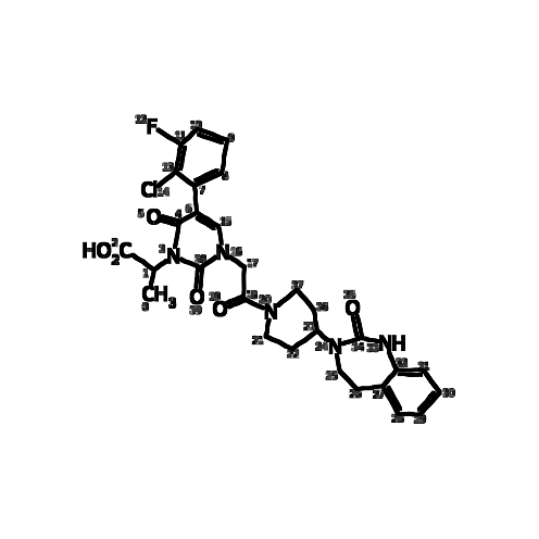 CC(C(=O)O)n1c(=O)c(-c2cccc(F)c2Cl)cn(CC(=O)N2CCC(N3CCc4ccccc4NC3=O)CC2)c1=O